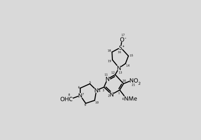 CNc1nc(N2CCN(C=O)CC2)nc(N2CC[S+]([O-])CC2)c1[N+](=O)[O-]